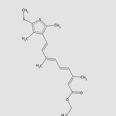 CCOC(=O)C=C(C)C=CC=C(C)C=Cc1c(C)sc(SC)c1C